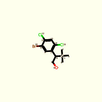 C[Si](C)(C)C(C[O])c1cc(Br)c(Cl)cc1Cl